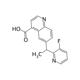 CC(c1ccc2nccc(C(=O)O)c2c1)c1ncccc1F